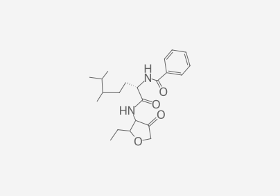 CCC1OCC(=O)C1NC(=O)[C@H](CCC(C)C(C)C)NC(=O)c1ccccc1